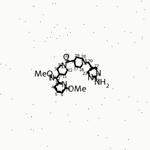 CON=C(c1cccc(OC)n1)C1CCN(C(=O)C2CCN(Cc3cnc(N)nc3)CC2)CC1